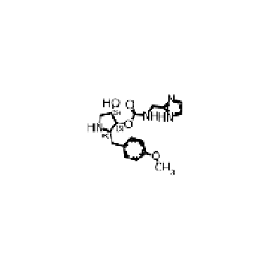 COc1ccc(C[C@H]2NC[C@H](O)[C@H]2OC(=O)NCc2ncc[nH]2)cc1